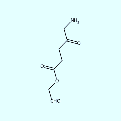 NCC(=O)CCC(=O)OCC=O